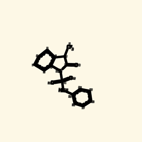 O=C1C(C(F)(F)F)c2ccccc2N1S(=O)(=O)Nc1ccccc1